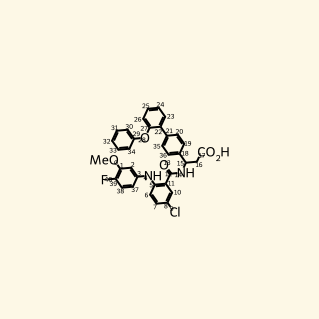 COc1cc(Nc2ccc(Cl)cc2C(=O)NC(CC(=O)O)c2ccc(-c3ccccc3Oc3ccccc3)cc2)ccc1F